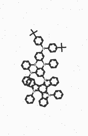 CC(C)(C)c1ccc(N(c2ccc(C(C)(C)C)cc2)c2ccc3c(c2)N(c2ccccc2)c2cc(-n4c5ccccc5c5c6c(c7ccccc7n6-c6ccccc6)c6c(c7ccccc7n6-c6ccccc6)c54)cc4c2B3c2ccccc2N4c2ccccc2)cc1